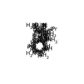 Cc1ccc(N(C(=O)NCc2ccc(-c3ccc(CC4NC(=O)C(CCN)NC(=O)C(NC(=O)[C@@H](CCN)NC(=O)C(NC(=O)[C@@H](CCN)NC(=O)CCCCCC(C)C)[C@@H](C)O)CCNC(=O)[C@@H]([C@@H](C)O)NC(=O)[C@@H](CCN)NC(=O)[C@@H](CCN)NC(=O)[C@@H](CC(C)C)NC4=O)cc3)cc2)c2nccc(N(C)c3ccc4c(C)n(C)nc4c3)n2)cc1S(N)(=O)=O